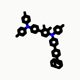 Cc1ccc(N(c2ccc(C)cc2)c2ccc(-c3ccc(N(c4ccc(C)cc4)c4ccc(-c5ccc(C67CC8CC(CC(C8)C6)C7)cc5)cc4)c(C)c3C)cc2)cc1